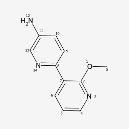 COc1ncccc1-c1ccc(N)cn1